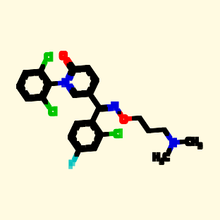 CN(C)CCCON=C(c1ccc(=O)n(-c2c(Cl)cccc2Cl)c1)c1ccc(F)cc1Cl